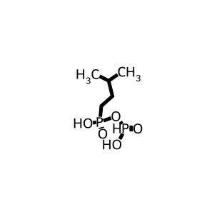 CC(C)CCP(=O)(O)O[PH](=O)O